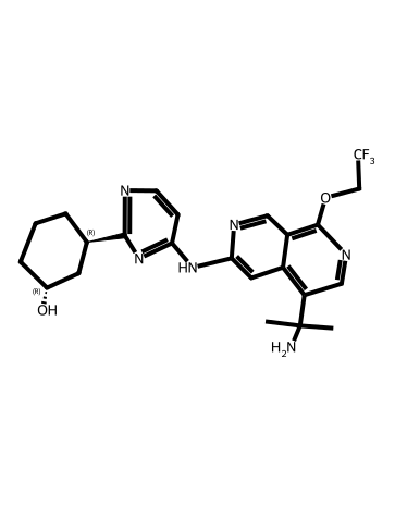 CC(C)(N)c1cnc(OCC(F)(F)F)c2cnc(Nc3ccnc([C@@H]4CCC[C@@H](O)C4)n3)cc12